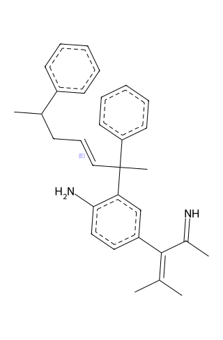 CC(=N)C(=C(C)C)c1ccc(N)c(C(C)(/C=C/CC(C)c2ccccc2)c2ccccc2)c1